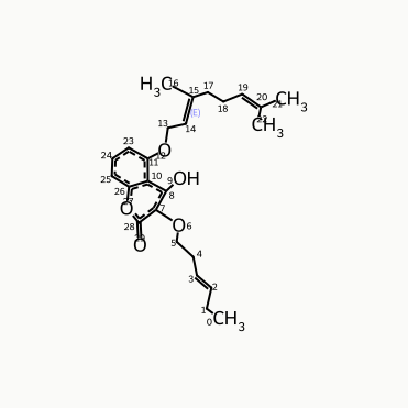 CCC=CCCOc1c(O)c2c(OC/C=C(\C)CCC=C(C)C)cccc2oc1=O